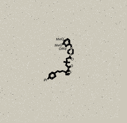 COc1ccc(CN2CCN(C(=O)CC(C)(C)CC(=O)c3sccc3CCCc3ccc(C(C)C)cc3)CC2)c(OC)c1OC